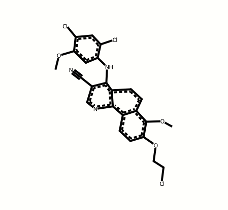 COc1cc(Nc2c(C#N)cnc3c2ccc2c(OC)c(OCCCl)ccc23)c(Cl)cc1Cl